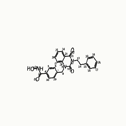 O=C(NO)c1ccc(Cn2c(=O)n(CCc3ccccc3)c(=O)c3ccccc32)cc1